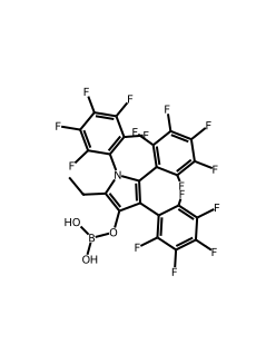 CCc1c(OB(O)O)c(-c2c(F)c(F)c(F)c(F)c2F)c(-c2c(F)c(F)c(F)c(F)c2F)n1-c1c(F)c(F)c(F)c(F)c1F